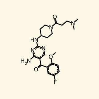 COc1ccc(F)cc1C(=O)c1cnc(NC2CCN(C(=O)CCN(C)C)CC2)nc1N